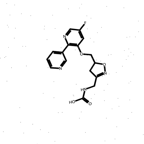 O=C(O)NCC1=NOC(COc2cc(F)cnc2-c2cccnc2)C1